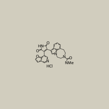 CNC(=O)N1CCc2cccc3c(C4=C(c5cncc6ccoc56)C(=O)NC4=O)cn(c23)CC1.Cl